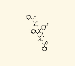 CN1C(CC(=O)c2ccccc2)CCCC1CC(C(=O)C(CC1CCCC(CC(=O)c2ccccc2)N1C)c1ccc(F)cc1)c1ccc(F)cc1